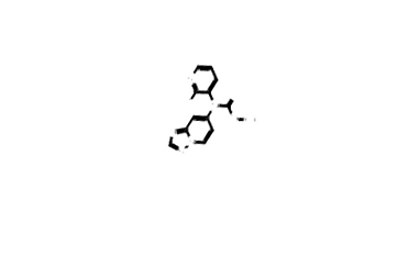 CC(C)(C)OC(=O)N(c1ccn2ncnc2c1)c1cccnc1F